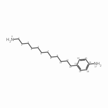 NCCCCCCCCCCCCc1ccc(N)cc1